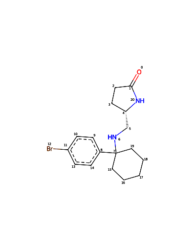 O=C1CC[C@@H](CNC2(c3ccc(Br)cc3)CCCCC2)N1